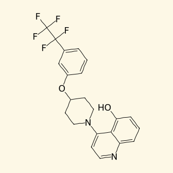 Oc1cccc2nccc(N3CCC(Oc4cccc(C(F)(F)C(F)(F)F)c4)CC3)c12